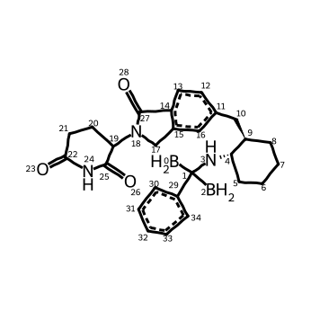 BC(B)(N[C@H]1CCCC[C@@H]1Cc1ccc2c(c1)CN(C1CCC(=O)NC1=O)C2=O)c1ccccc1